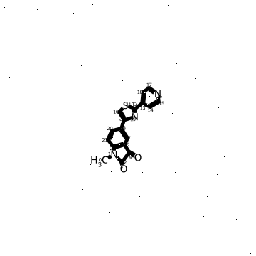 CN1C(=O)C(=O)c2cc(-c3csc(-c4ccncc4)n3)ccc21